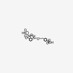 O=C1CCC(N2C(=O)c3cccc([S+]([O-])CCOCCCc4ccc(S(=O)(=O)O)cc4)c3C2=O)C(=O)N1